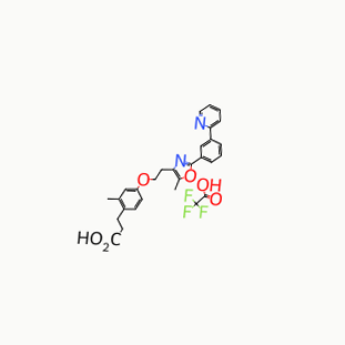 Cc1cc(OCCc2nc(-c3cccc(-c4ccccn4)c3)oc2C)ccc1CCC(=O)O.O=C(O)C(F)(F)F